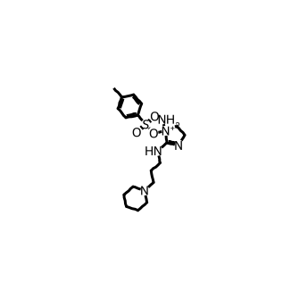 Cc1ccc(S(=O)(=O)O[N+]2(N)CCN=C2NCCCN2CCCCC2)cc1